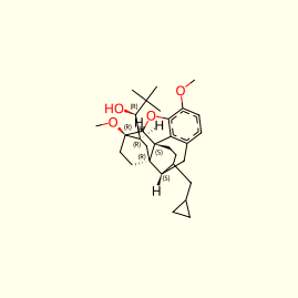 COc1ccc2c3c1O[C@H]1[C@@]4(OC)CC[C@@]5(C[C@@H]4[C@@H](O)C(C)(C)C)[C@@H](C2)C(CC2CC2)CC[C@]315